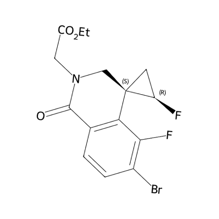 CCOC(=O)CN1C[C@]2(C[C@H]2F)c2c(ccc(Br)c2F)C1=O